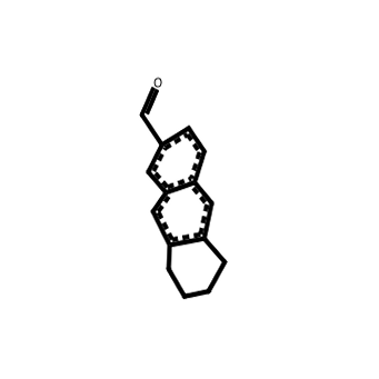 O=Cc1ccc2cc3c(cc2c1)CCCC3